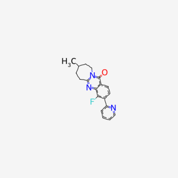 CC1CCc2nc3c(F)c(-c4ccccn4)ccc3c(=O)n2CC1